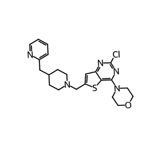 Clc1nc(N2CCOCC2)c2sc(CN3CCC(Cc4ccccn4)CC3)cc2n1